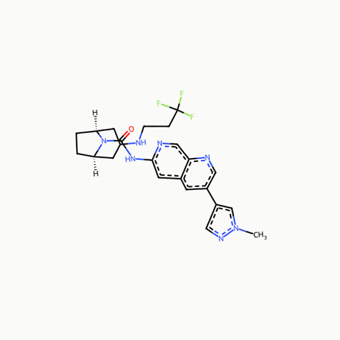 Cn1cc(-c2cnc3cnc(NC(=O)N4[C@@H]5CC[C@H]4CC(NCCC(F)(F)F)C5)cc3c2)cn1